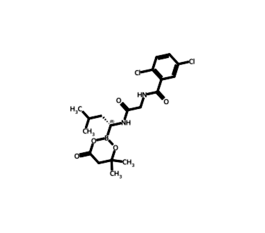 CC(C)C[C@H](NC(=O)CNC(=O)c1cc(Cl)ccc1Cl)B1OC(=O)CC(C)(C)O1